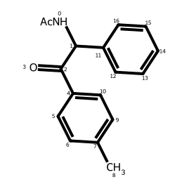 CC(=O)NC(C(=O)c1ccc(C)cc1)c1ccccc1